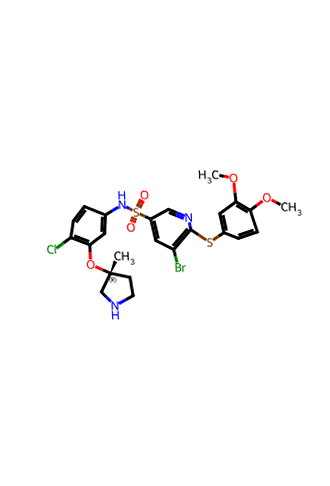 COc1ccc(Sc2ncc(S(=O)(=O)Nc3ccc(Cl)c(O[C@]4(C)CCNC4)c3)cc2Br)cc1OC